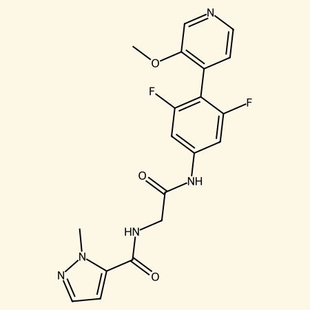 COc1cnccc1-c1c(F)cc(NC(=O)CNC(=O)c2ccnn2C)cc1F